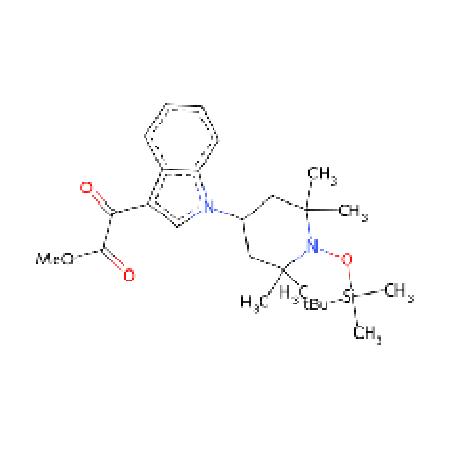 COC(=O)C(=O)c1cn(C2CC(C)(C)N(O[Si](C)(C)C(C)(C)C)C(C)(C)C2)c2ccccc12